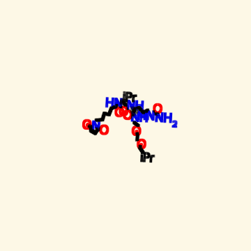 CC(C)CCOCCOCCNC(=O)[C@H](CCCNC(N)=O)NC(=O)[C@@H](NC(=O)CCCCCN1C(=O)C=CC1=O)C(C)C